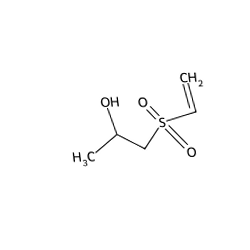 C=CS(=O)(=O)CC(C)O